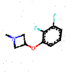 CN1CC(Oc2cccc(F)c2F)C1